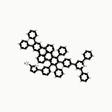 Cc1ccc(-c2cccc(-c3c(-c4ccccc4)c(-c4ccc(-c5cc(-c6ccccc6)nc(-c6ccccc6)c5)cc4)c(-c4ccccc4)c4c5cccc6c7cc(-c8ccccc8)c(-c8ccccc8)cc7c7cccc(c34)c7c65)c2)s1